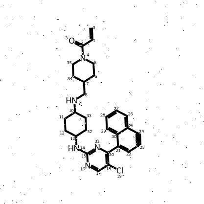 C=CC(=O)N1CCC(CNC2CCC(Nc3ncc(Cl)c(-c4cc#cc5ccccc45)n3)CC2)CC1